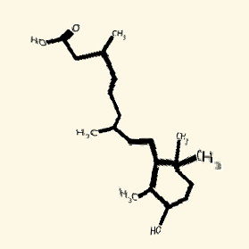 CC1=C(CCC(C)CCCC(C)CC(=O)O)C(C)(C)CCC1O